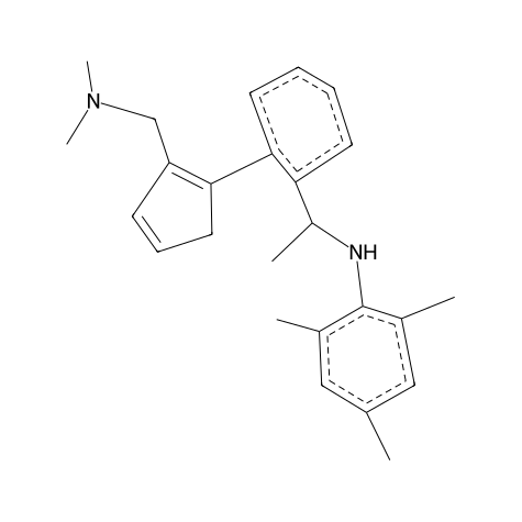 Cc1cc(C)c(NC(C)c2ccccc2C2=C(CN(C)C)C=CC2)c(C)c1